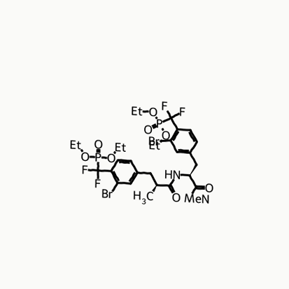 CCOP(=O)(OCC)C(F)(F)c1ccc(C[C@H](NC(=O)[C@@H](C)Cc2ccc(C(F)(F)P(=O)(OCC)OCC)c(Br)c2)C(=O)NC)cc1Br